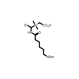 CCCCCCCCCCCCCCCC(=O)NC(CC)[N+](C)(C)CC(=O)O